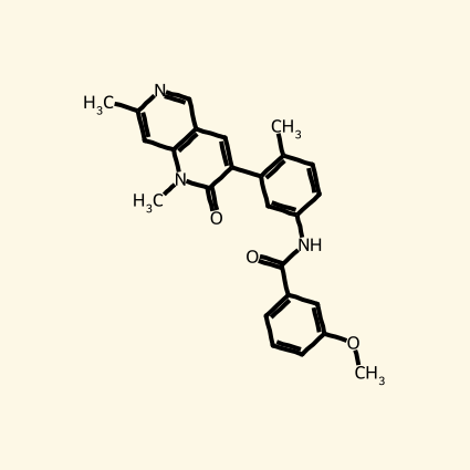 COc1cccc(C(=O)Nc2ccc(C)c(-c3cc4cnc(C)cc4n(C)c3=O)c2)c1